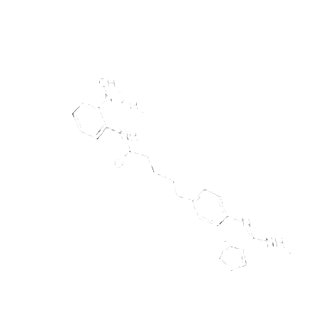 CN(C)c1ccccc1NC(=O)CCCCc1ccc(/N=C(/N)c2cccs2)cc1